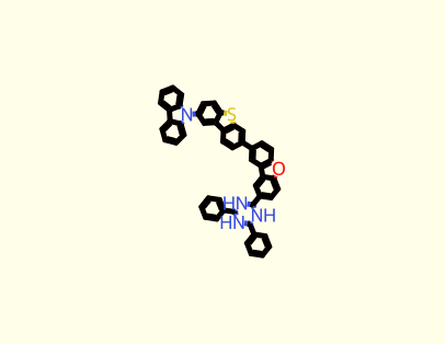 c1ccc(C2NC(c3ccccc3)NC(c3ccc4oc5ccc(-c6ccc7c(c6)sc6ccc(-n8c9ccccc9c9ccccc98)cc67)cc5c4c3)N2)cc1